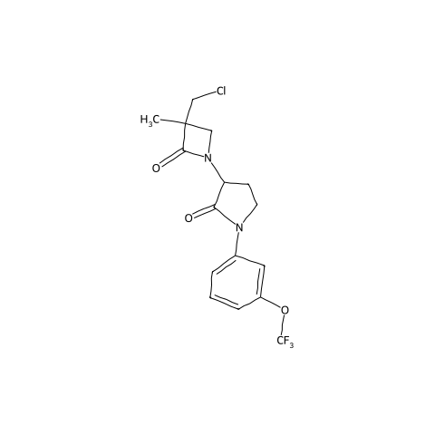 CC1(CCl)CN(C2CCN(c3cccc(OC(F)(F)F)c3)C2=O)C1=O